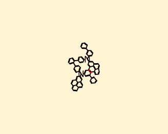 c1ccc(-c2cccc(N(c3ccc(-c4ccccc4-c4ccc(N(c5cccc(-c6ccccc6)c5)c5cc6ccc7cccc8ccc(c5)c6c78)cc4)cc3)c3cc4ccc5cccc6ccc(c3)c4c56)c2)cc1